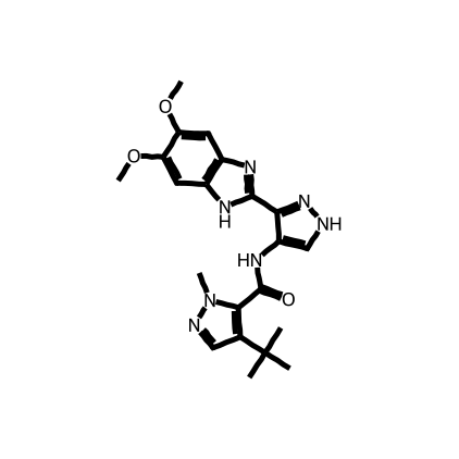 COc1cc2nc(-c3n[nH]cc3NC(=O)c3c(C(C)(C)C)cnn3C)[nH]c2cc1OC